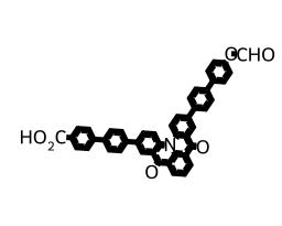 O=COc1ccc(-c2ccc(-c3ccc4c(c3)c(=O)c3cccc5c(=O)c6cc(-c7ccc(-c8ccc(C(=O)O)cc8)cc7)ccc6n4c35)cc2)cc1